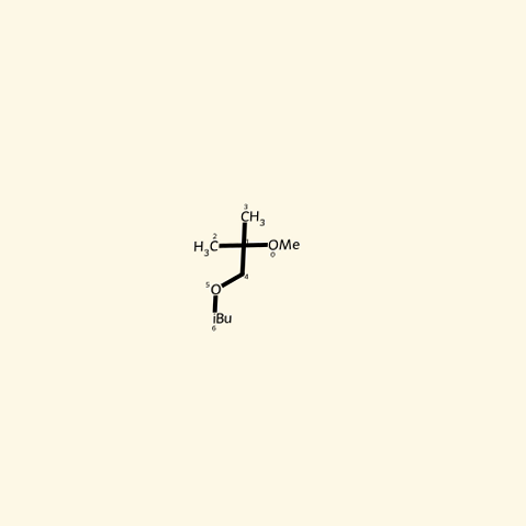 [CH2]OC(C)(C)COC(C)CC